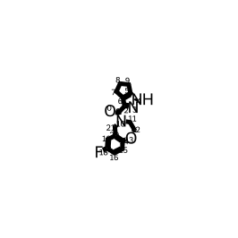 O=C(c1n[nH]c2c1CCC2)N1CCOc2ccc(F)cc2C1